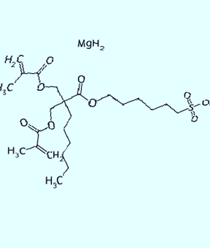 C=C(C)C(=O)OCC(CCCCCC)(COC(=O)C(=C)C)C(=O)OCCCCCCS(=O)(=O)O.[MgH2]